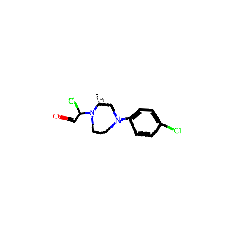 C[C@@H]1CN(c2ccc(Cl)cc2)CCN1C(Cl)C=O